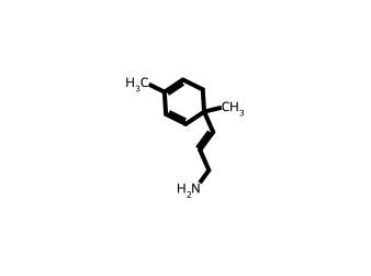 CC1=CCC(C)(C=CCN)C=C1